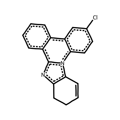 Clc1ccc2c(c1)c1ccccc1c1nc3c(n21)C=CCC3